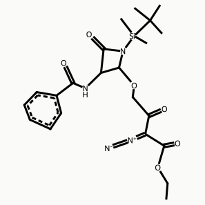 CCOC(=O)C(=[N+]=[N-])C(=O)COC1C(NC(=O)c2ccccc2)C(=O)N1[Si](C)(C)C(C)(C)C